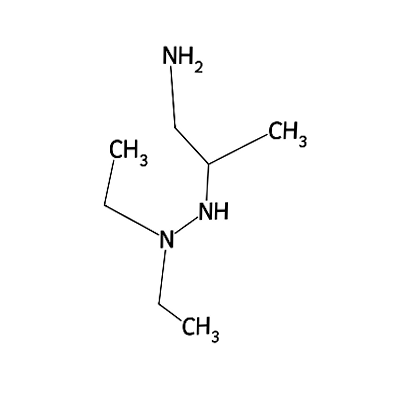 CCN(CC)NC(C)CN